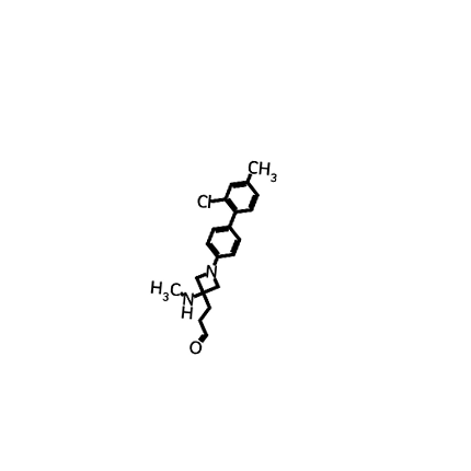 CNC1(CCC=O)CN(c2ccc(-c3ccc(C)cc3Cl)cc2)C1